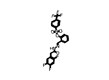 O=C(Cc1cc(F)c(F)cc1F)NN=Cc1ccccc1OS(=O)(=O)c1ccc(C(F)(F)F)cc1